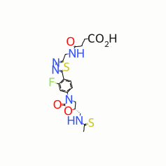 CC(=S)NC[C@H]1CN(c2ccc(-c3nnc(CNC(=O)CCC(=O)O)s3)c(F)c2)C(=O)O1